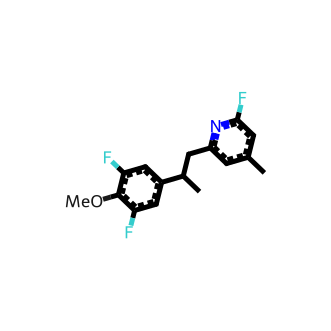 COc1c(F)cc(C(C)Cc2cc(C)cc(F)n2)cc1F